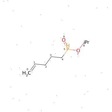 C=CCCC[PH](=O)OC(C)C